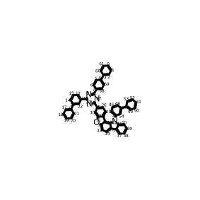 c1ccc(-c2ccc(-c3nc(-c4cccc(-c5ccccc5)c4)nc(-c4ccc5c(c4)oc4ccc6c7ccccc7n(-c7cccc(-c8ccccc8)c7)c6c45)n3)cc2)cc1